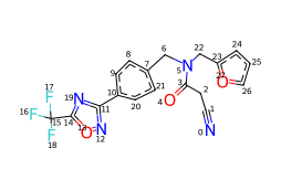 N#CCC(=O)N(Cc1ccc(-c2noc(C(F)(F)F)n2)cc1)Cc1ccco1